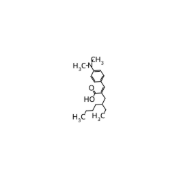 CCCCC(CC)CC(=Cc1ccc(N(C)C)cc1)C(=O)O